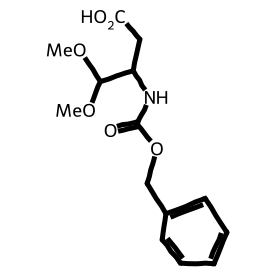 COC(OC)C(CC(=O)O)NC(=O)OCc1ccccc1